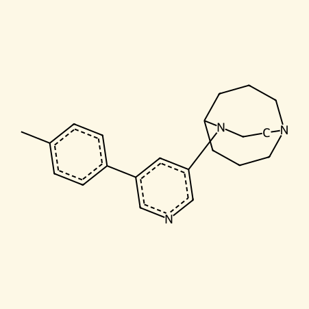 Cc1ccc(-c2cncc(N3CCN4CCCC3CCC4)c2)cc1